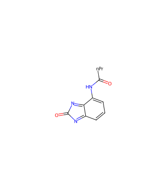 CCCC(=O)Nc1cccc2c1=NC(=O)N=2